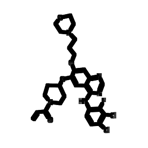 C=CC(=O)N1CCC(Oc2cc3c(Nc4ccc(Cl)c(Cl)c4F)ncnc3cc2OCCCN2CCOCC2)CC1